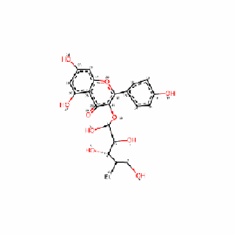 CCC(CO)[C@H](O)C(O)C(O)Oc1c(-c2ccc(O)cc2)oc2cc(O)cc(O)c2c1=O